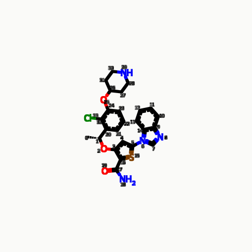 C[C@@H](Oc1cc(-n2cnc3ccccc32)sc1C(N)=O)c1cccc(OC2CCNCC2)c1Cl